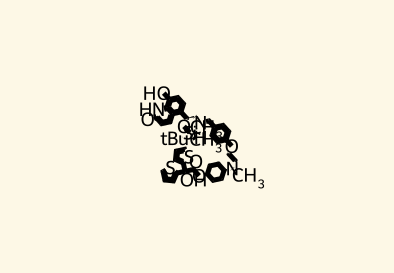 CN(CCOc1ccc(CNC[C@H](O[Si](C)(C)C(C)(C)C)c2ccc(O)c3[nH]c(=O)ccc23)cc1)[C@H]1CC[C@H](OC(=O)C(O)(c2cccs2)c2cccs2)CC1